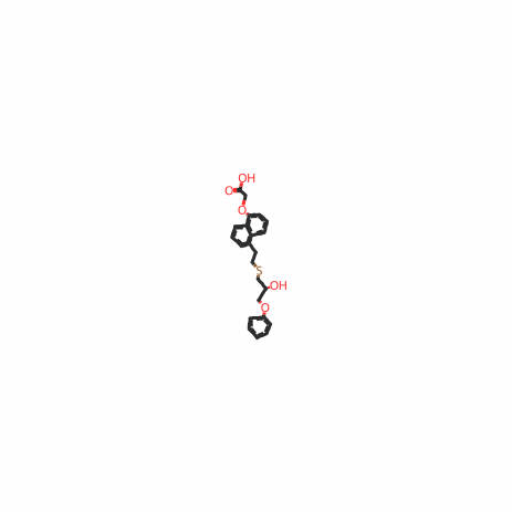 O=C(O)COc1cccc2c(CCSC[C@@H](O)COc3ccccc3)cccc12